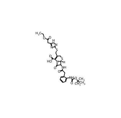 CCOC(=O)Cc1nc(SCC2=C(C(=O)O)N3C(=O)C(NC(=O)Cc4ccccc4NC(=O)OC(C)(C)C)[C@H]3SC2)n[nH]1